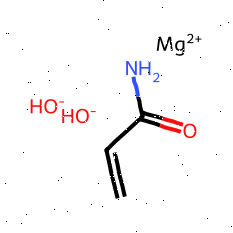 C=CC(N)=O.[Mg+2].[OH-].[OH-]